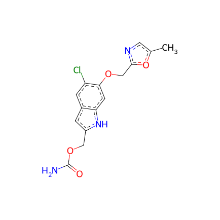 Cc1cnc(COc2cc3[nH]c(COC(N)=O)cc3cc2Cl)o1